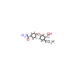 NC(=O)c1ccc(Oc2ccc(C(=O)O)c(CO)c2)cc1